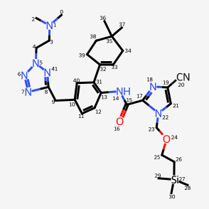 CN(C)CCn1nnc(Cc2ccc(NC(=O)c3nc(C#N)cn3COCC[Si](C)(C)C)c(C3=CCC(C)(C)CC3)c2)n1